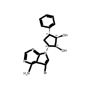 Nc1ncnc2c1c(Br)cn2[C@@H]1C[C@H](c2ccccc2)[C@@H](O)[C@H]1O